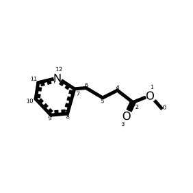 COC(=O)CCCc1ccccn1